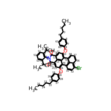 CCCCCc1ccc(Oc2cc3c4c(cc(Oc5ccc(CCCCC)cc5)c5c6ccc(Br)c7cccc(c2c45)c76)C(=O)N(c2c(C(C)C)cccc2C(C)C)C3=O)cc1